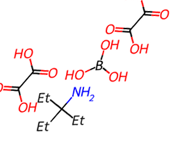 CCC(N)(CC)CC.O=C(O)C(=O)O.O=C(O)C(=O)O.OB(O)O